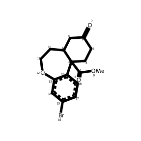 COC(=O)C12CCC(=O)CC1CCOc1cc(Br)ccc12